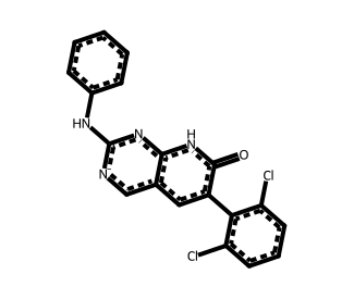 O=c1[nH]c2nc(Nc3ccccc3)ncc2cc1-c1c(Cl)cccc1Cl